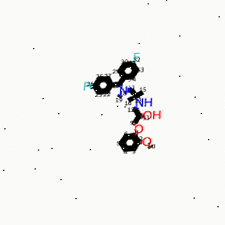 COc1ccccc1OCC(O)CNC(C)(C)CN(C)C(c1ccc(F)cc1)c1ccc(F)cc1